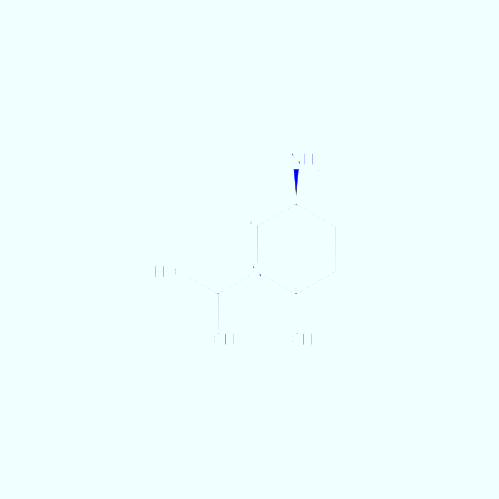 CC(C)N1C[C@@H](N)CC[C@@H]1C